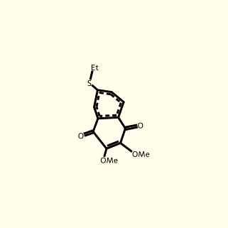 CCSc1ccc2c(c1)C(=O)C(OC)=C(OC)C2=O